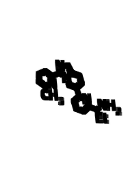 CCC(N)c1cccc(-c2ccc3cnc(-c4cccc(C)n4)n3c2)n1